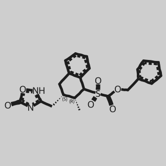 C[C@H]1C(S(=O)(=O)C(=O)OCc2ccccc2)c2ccccc2C[C@H]1Cc1nc(=O)o[nH]1